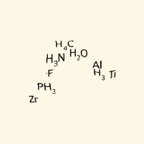 C.N.O.P.[AlH3].[F].[Ti].[Zr]